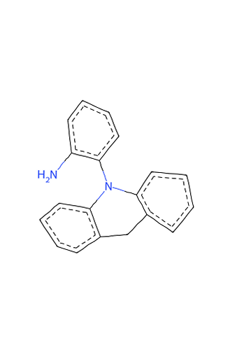 Nc1ccccc1N1c2ccccc2Cc2ccccc21